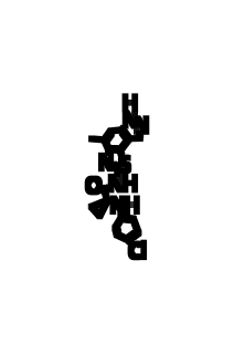 Cc1cc2[nH]ncc2c2sc(NC(=O)C3(Nc4ccc(Cl)cc4)CC3)nc12